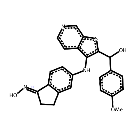 COc1ccc(C(O)c2sc3cnccc3c2Nc2ccc3c(c2)CC/C3=N\O)cc1